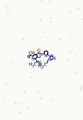 CCCn1cnnc1-c1cccc(N2Cc3c(cc(C4(C)CC4)nc3[C@@H](C)N)C2=O)n1